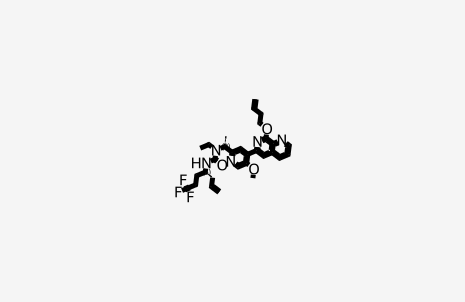 C=CCCOc1nc(-c2cc([C@@H](C)N(CC)C(=O)N[C@H](CC=C)CCC(F)(F)F)ncc2OC)cc2cccnc12